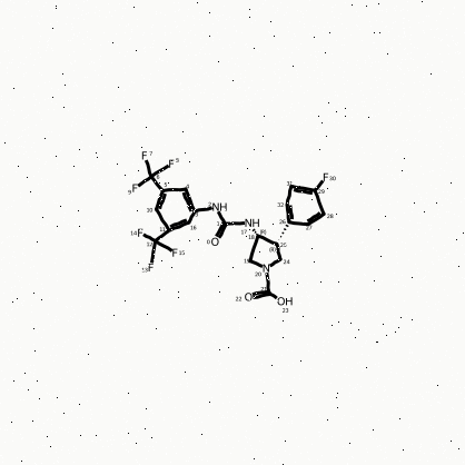 O=C(Nc1cc(C(F)(F)F)cc(C(F)(F)F)c1)N[C@H]1CN(C(=O)O)C[C@H]1c1ccc(F)cc1